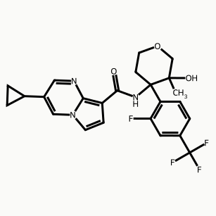 CC1(O)COCCC1(NC(=O)c1ccn2cc(C3CC3)cnc12)c1ccc(C(F)(F)F)cc1F